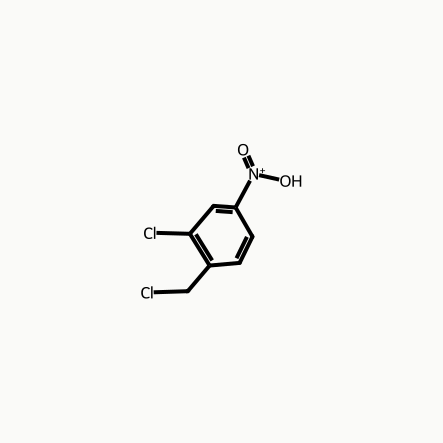 O=[N+](O)c1ccc(CCl)c(Cl)c1